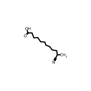 CC(C#N)CCCCCCCCCC(=O)O